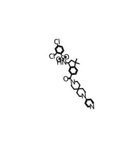 CC1(C)CC(NS(=O)(=O)c2ccc(Cl)cc2Cl)c2cc(C(=O)N3CCC4(CC3)CCN(c3ccncc3)CC4)ccc21